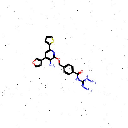 N/N=C(\NN)NC(=O)c1ccc(COc2nc(-c3cccs3)cc(-c3ccoc3)c2N)cc1